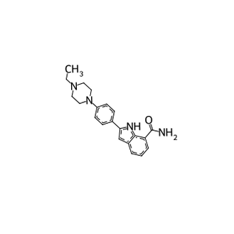 CCN1CCN(c2ccc(-c3cc4cccc(C(N)=O)c4[nH]3)cc2)CC1